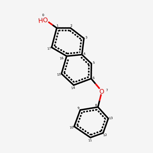 Oc1ccc2cc(Oc3ccccc3)ccc2c1